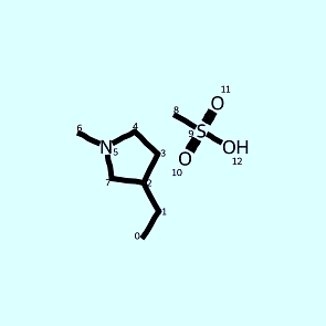 CCC1CCN(C)C1.CS(=O)(=O)O